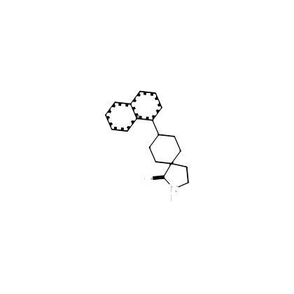 O=C1NCCC12CCC(c1cccc3ccccc13)CC2